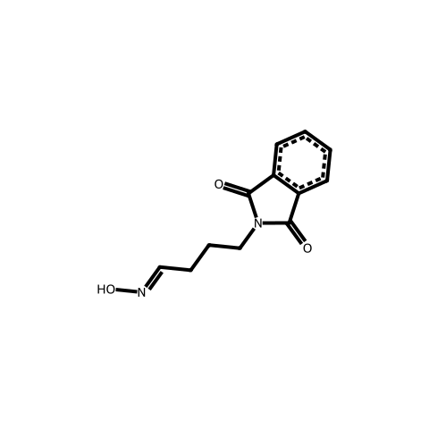 O=C1c2ccccc2C(=O)N1CCCC=NO